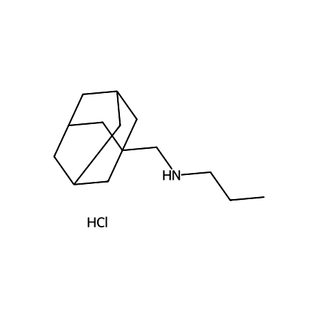 CCCNCC12CC3CC(CC(C3)C1)C2.Cl